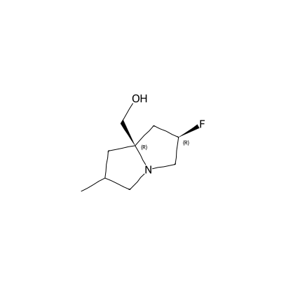 CC1CN2C[C@H](F)C[C@@]2(CO)C1